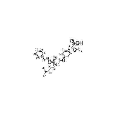 CCOC(Cc1ccc(OCCN(CCCC(C)C)C(=O)OCCc2ccccc2)cc1)C(=O)O